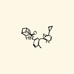 Cc1ccc(NC(=O)N2C3CC(C)CC2C3)cc1-c1nccc(C2CC2)n1